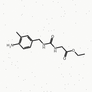 CCOC(=O)CNC(=O)NCc1ccc(N)c(C)c1